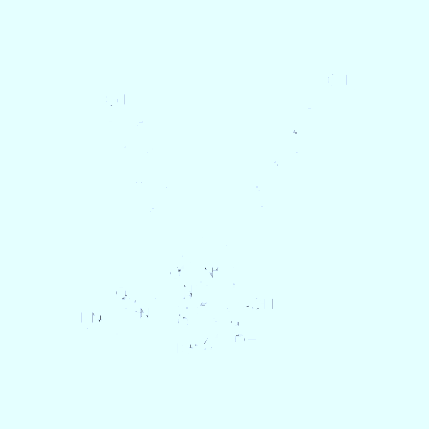 CCCCCCCCCCCCCCN(C(=O)CCCCCCCCCCC)[C@@]1(NC(=O)CNC(=O)CN)C[C@@H](O)[C@H](O)[C@@H](CO)O1